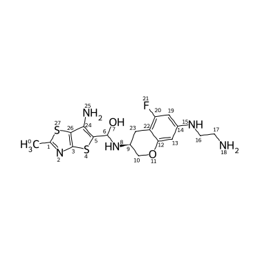 Cc1nc2sc(C(O)N[C@@H]3COc4cc(NCCN)cc(F)c4C3)c(N)c2s1